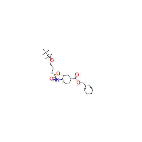 CC(C)(C)[Si](C)(C)OCCCS(=O)(=O)NC1CCC(C(=O)OCc2ccccc2)CC1